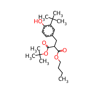 CCCCOC(=O)C(Cc1ccc(O)c(C(C)(C)C)c1)C(=O)OC(C)(C)C